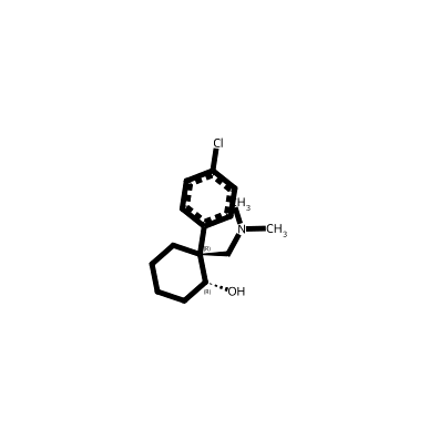 CN(C)C[C@]1(c2ccc(Cl)cc2)CCCC[C@H]1O